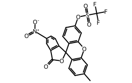 Cc1ccc2c(c1)Oc1cc(OS(=O)(=O)C(F)(F)F)ccc1C21OC(=O)c2cc([N+](=O)[O-])ccc21